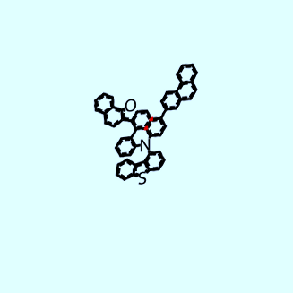 c1ccc(N(c2ccc(-c3ccc4c(ccc5ccccc54)c3)cc2)c2cccc3sc4ccccc4c23)c(-c2cccc3oc4c5ccccc5ccc4c23)c1